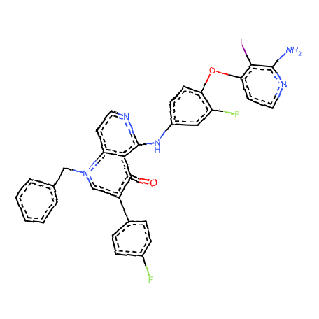 Nc1nccc(Oc2ccc(Nc3nccc4c3c(=O)c(-c3ccc(F)cc3)cn4Cc3ccccc3)cc2F)c1I